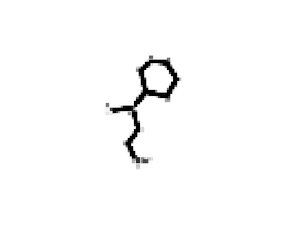 CCCCCCCCP(CC)C1CCCCC1